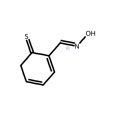 O/N=[C]/C1=CC=CCC1=S